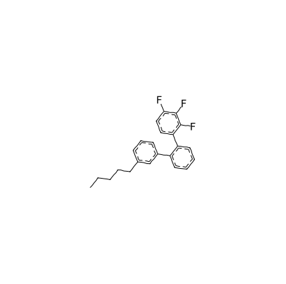 CCCCCc1cccc(-c2ccccc2-c2ccc(F)c(F)c2F)c1